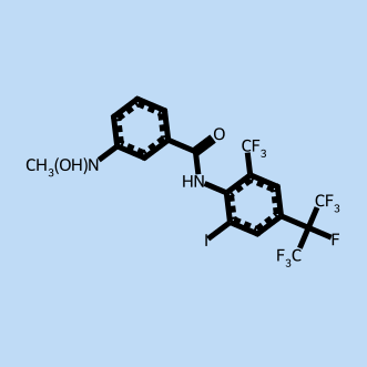 CN(O)c1cccc(C(=O)Nc2c(I)cc(C(F)(C(F)(F)F)C(F)(F)F)cc2C(F)(F)F)c1